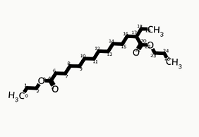 CCCOC(=O)CCCCCCCCCCCC(CC)C(=O)OCCC